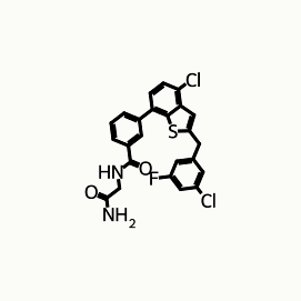 NC(=O)CNC(=O)c1cccc(-c2ccc(Cl)c3cc(Cc4cc(F)cc(Cl)c4)sc23)c1